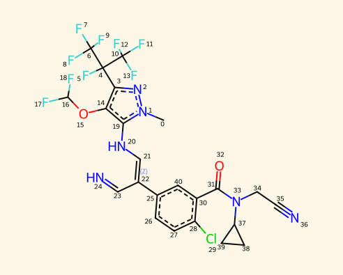 Cn1nc(C(F)(C(F)(F)F)C(F)(F)F)c(OC(F)F)c1N/C=C(\C=N)c1ccc(Cl)c(C(=O)N(CC#N)C2CC2)c1